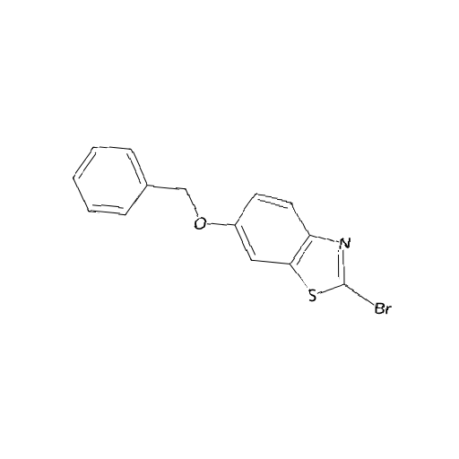 Brc1nc2ccc(OCc3ccccc3)cc2s1